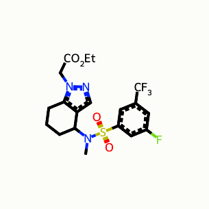 CCOC(=O)Cn1ncc2c1CCCC2N(C)S(=O)(=O)c1cc(F)cc(C(F)(F)F)c1